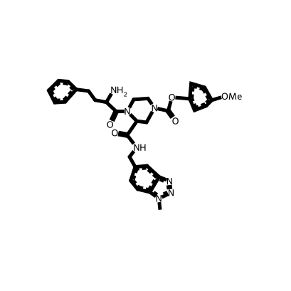 COc1ccc(OC(=O)N2CCN(C(=O)C(N)CCc3ccccc3)C(C(=O)NCc3ccc4c(c3)nnn4C)C2)cc1